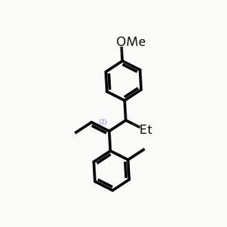 C/C=C(\c1ccccc1C)C(CC)c1ccc(OC)cc1